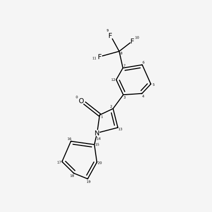 O=C1C(c2cccc(C(F)(F)F)c2)=CN1c1ccccc1